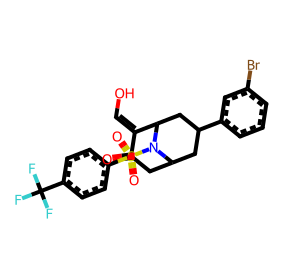 O=C1CC2CC(c3cccc(Br)c3)CC(C1=CO)N2S(=O)(=O)c1ccc(C(F)(F)F)cc1